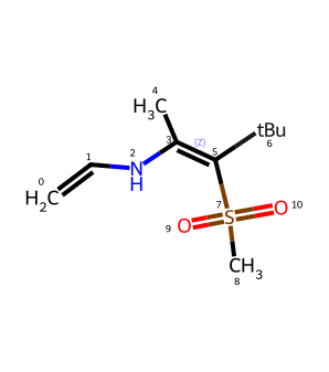 C=CN/C(C)=C(/C(C)(C)C)S(C)(=O)=O